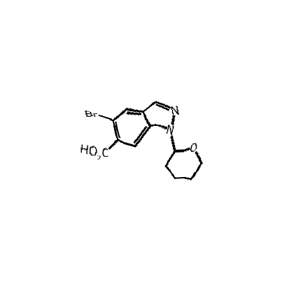 O=C(O)c1cc2c(cnn2C2CCCCO2)cc1Br